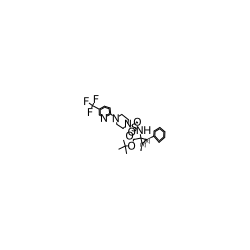 C[C@@H]1[C@H](c2ccccc2)C1(NS(=O)(=O)N1CCN(c2ccc(C(F)(F)F)cn2)CC1)C(=O)OC(C)(C)C